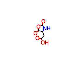 O=C(O)CC1NC(=O)OC1=O